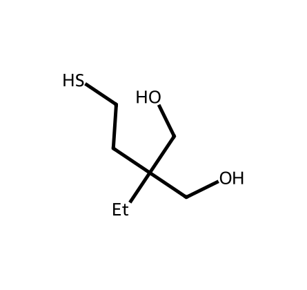 CCC(CO)(CO)CCS